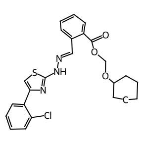 O=C(OCOC1CCCCC1)c1ccccc1/C=N/Nc1nc(-c2ccccc2Cl)cs1